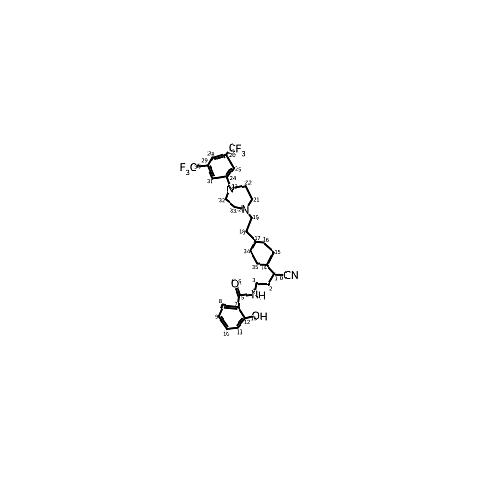 N#CC(CCNC(=O)c1ccccc1O)C1CCC(CCN2CCN(c3cc(C(F)(F)F)cc(C(F)(F)F)c3)CC2)CC1